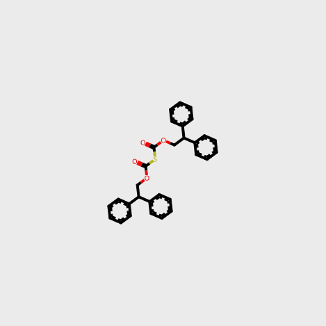 O=C(OCC(c1ccccc1)c1ccccc1)SC(=O)OCC(c1ccccc1)c1ccccc1